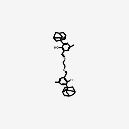 Cc1cc(/C=N/CC/N=C/c2cc(C)cc(C34CC5CC(CC(C5)C3)C4)c2O)c(O)c(C23CC4CC(CC(C4)C2)C3)c1